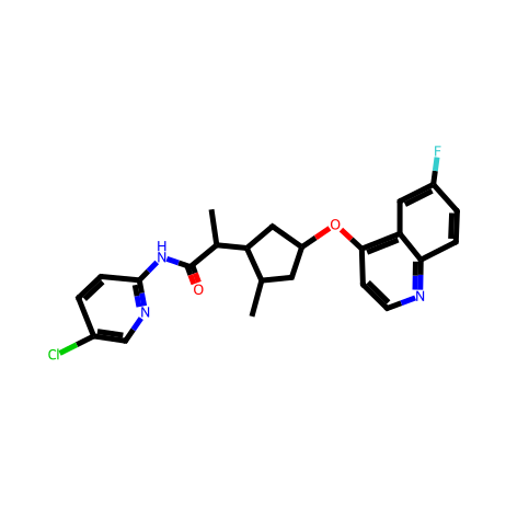 CC1CC(Oc2ccnc3ccc(F)cc23)CC1C(C)C(=O)Nc1ccc(Cl)cn1